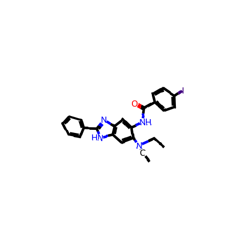 CCN(CC)c1cc2[nH]c(-c3ccccc3)nc2cc1NC(=O)c1ccc(I)cc1